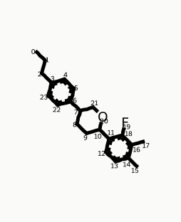 CCCc1ccc(C2CCC(c3ccc(C)c(C)c3F)OC2)cc1